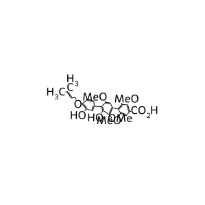 COc1cc(C(=O)O)cc(OC)c1-c1cc(OC)c(-c2ccc(OCC=C(C)C)c(O)c2)c(O)c1OC